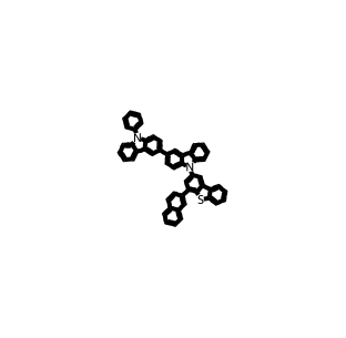 c1ccc(-n2c3ccccc3c3cc(-c4ccc5c(c4)c4ccccc4n5-c4cc(-c5ccc6ccccc6c5)c5sc6ccccc6c5c4)ccc32)cc1